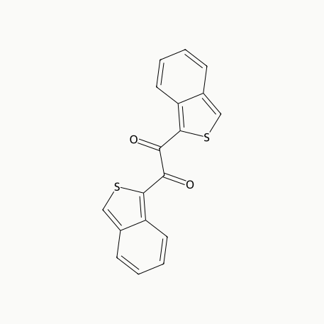 O=C(C(=O)c1scc2ccccc12)c1scc2ccccc12